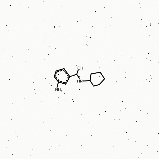 Nc1cccc(C(O)NC2CCCCC2)c1